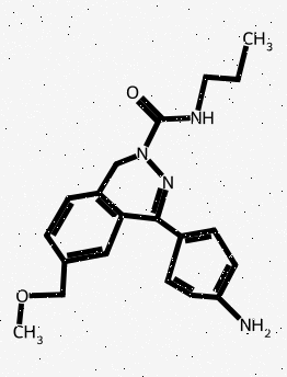 CCCNC(=O)N1Cc2ccc(COC)cc2C(c2ccc(N)cc2)=N1